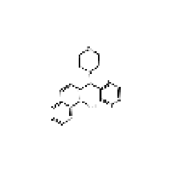 Oc1c(C(c2cnccn2)N2CCOCC2)ccc2cccnc12